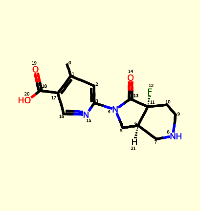 Cc1cc(N2C[C@@H]3CNCC[C@]3(F)C2=O)ncc1C(=O)O